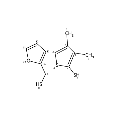 Cc1csc(S)c1C.SCc1ccco1